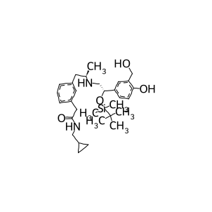 C[C@H](Cc1cccc(CC(=O)NCC2CC2)c1)NC[C@@H](O[Si](C)(C)C(C)(C)C)c1ccc(O)c(CO)c1